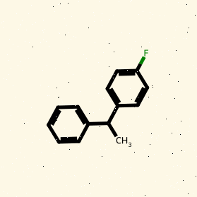 C[C](c1ccccc1)c1ccc(F)cc1